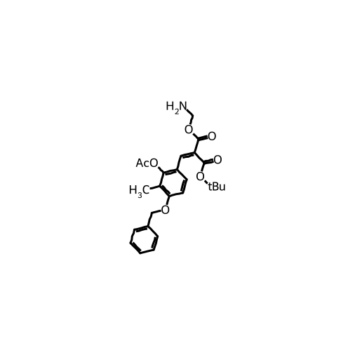 CC(=O)Oc1c(C=C(C(=O)OCN)C(=O)OC(C)(C)C)ccc(OCc2ccccc2)c1C